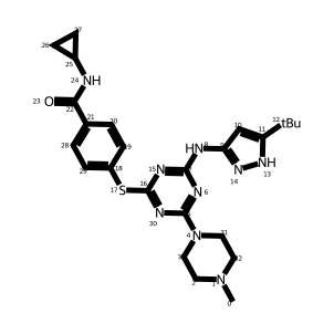 CN1CCN(c2nc(Nc3cc(C(C)(C)C)[nH]n3)nc(Sc3ccc(C(=O)NC4CC4)cc3)n2)CC1